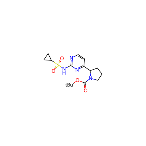 CC(C)(C)OC(=O)N1CCCC1c1ccnc(NS(=O)(=O)C2CC2)n1